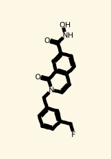 O=C(NO)c1ccc2ccn(Cc3cccc(CF)c3)c(=O)c2c1